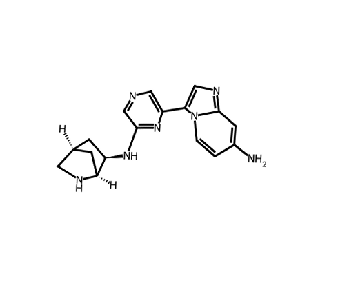 Nc1ccn2c(-c3cncc(N[C@@H]4C[C@@H]5CN[C@H]4C5)n3)cnc2c1